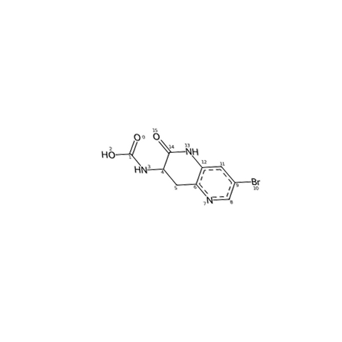 O=C(O)NC1Cc2ncc(Br)cc2NC1=O